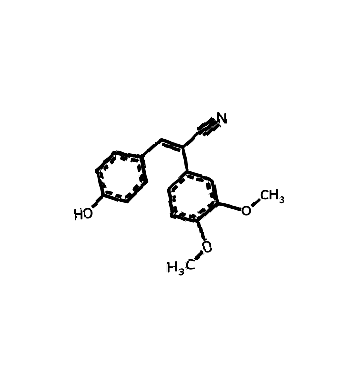 COc1ccc(/C(C#N)=C\c2ccc(O)cc2)cc1OC